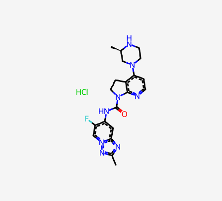 Cc1nc2cc(NC(=O)N3CCc4c(N5CCN[C@H](C)C5)ccnc43)c(F)cn2n1.Cl